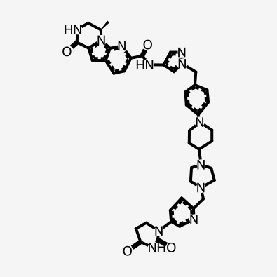 C[C@@H]1CNC(=O)c2cc3ccc(C(=O)Nc4cnn(Cc5ccc(N6CCC(N7CCN(Cc8ccc(N9CCC(=O)NC9=O)cn8)CC7)CC6)cc5)c4)nc3n21